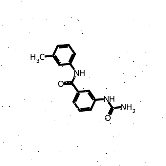 Cc1cccc(NC(=O)c2cccc(NC(N)=O)c2)c1